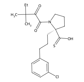 CCC(C)(C)C(=O)C(=O)N1CCC[C@@]1(CCCc1cccc(Cl)c1)C(O)=S